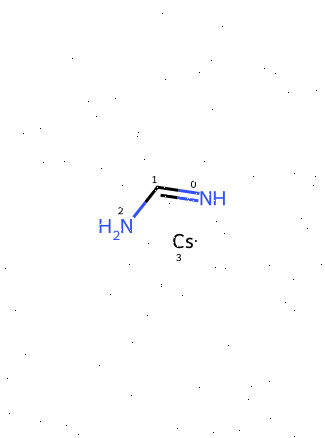 N=CN.[Cs]